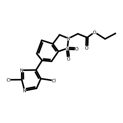 CCOC(=O)CN1Cc2ccc(-c3nc(Cl)ncc3Cl)cc2S1(=O)=O